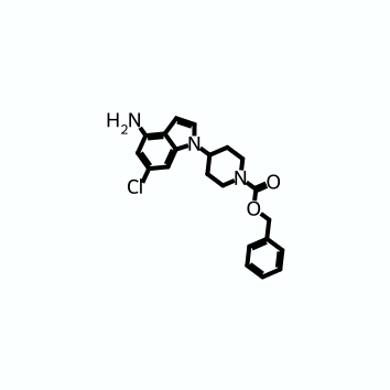 Nc1cc(Cl)cc2c1ccn2C1CCN(C(=O)OCc2ccccc2)CC1